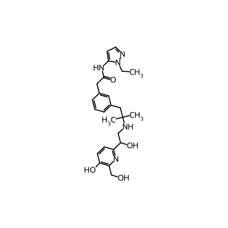 CCn1nccc1NC(=O)Cc1cccc(CC(C)(C)NCC(O)c2ccc(O)c(CO)n2)c1